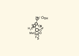 COc1cc(-c2c3c(C#N)cc(-c4cnn(C[C@H]5C[C@@H](O)C5)c4)cc3nn2C)cc(OC(F)F)c1C(=O)NCC1(F)CC1